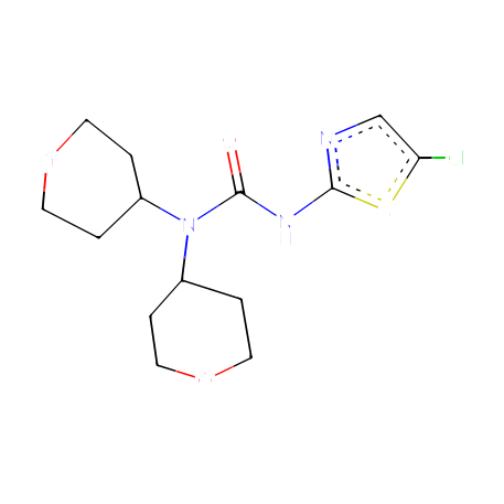 O=C(Nc1ncc(Cl)s1)N(C1CCOCC1)C1CCOCC1